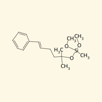 CO[Si](C)(OC)OC(C)(C)CCC=Cc1ccccc1